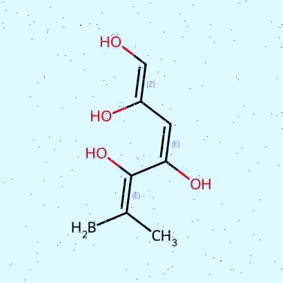 B/C(C)=C(O)/C(O)=C\C(O)=C\O